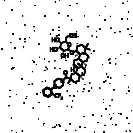 CC1(C(=O)N2CCN(c3ccccc3C(F)(F)F)CC2)CC[C@]2(C)CC[C@]3(C)C(=CCC4[C@@]5(C)C(O[C@@H]6O[C@H](CO)[C@@H](O)[C@@H](O)[C@H]6O)CCC(C)(C)C5CC[C@]43C)[C@@H]2C1